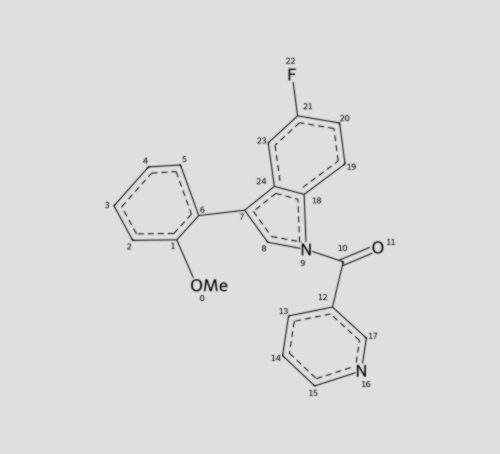 COc1ccccc1-c1cn(C(=O)c2cccnc2)c2ccc(F)cc12